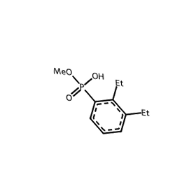 CCc1cccc(P(=O)(O)OC)c1CC